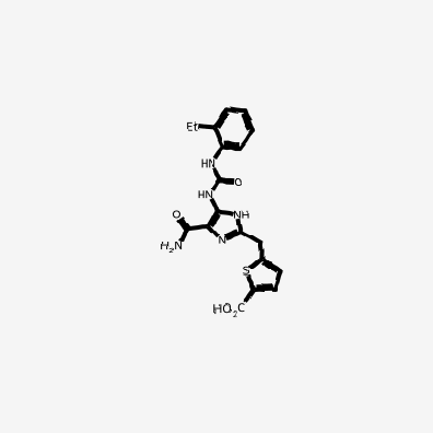 CCc1ccccc1NC(=O)Nc1[nH]c(Cc2ccc(C(=O)O)s2)nc1C(N)=O